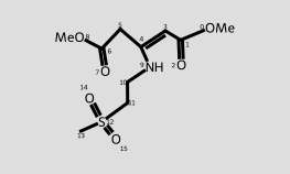 COC(=O)C=C(CC(=O)OC)NCCS(C)(=O)=O